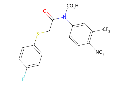 O=C(O)N(C(=O)CSc1ccc(F)cc1)c1ccc([N+](=O)[O-])c(C(F)(F)F)c1